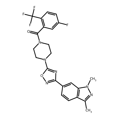 Cc1nn(C)c2cc(-c3noc(N4CCN(C(=O)c5cc(F)ccc5C(F)(F)F)CC4)n3)ccc12